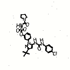 CC(C)(C)c1cc(NC(=O)Nc2ccc(Cl)cc2)n(-c2cccc(OS(=O)(=O)NC(=O)N3CCCC3)c2)n1